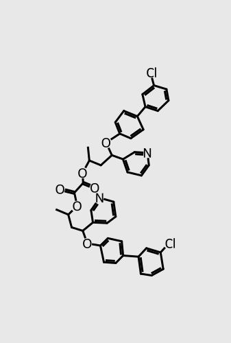 CC(CC(Oc1ccc(-c2cccc(Cl)c2)cc1)c1cccnc1)OC(=O)C(=O)OC(C)CC(Oc1ccc(-c2cccc(Cl)c2)cc1)c1cccnc1